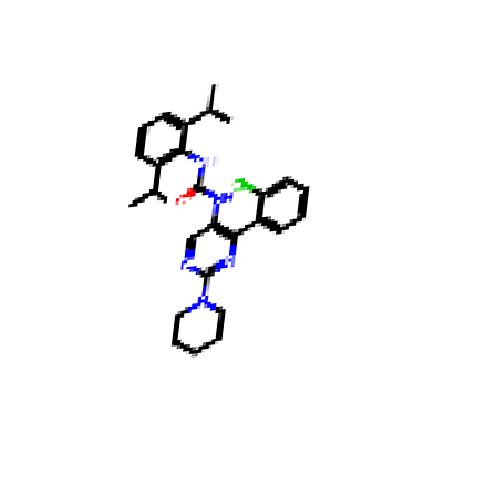 CC(C)c1cccc(C(C)C)c1NC(=O)Nc1cnc(N2CCCCC2)nc1-c1ccccc1Cl